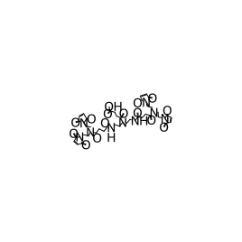 O=C(O)CCC(=O)N(CCNC(=O)CCC(=O)N(CCN1C(=O)C=CC1=O)CCN1C(=O)C=CC1=O)CCNC(=O)CCC(=O)N(CCN1C(=O)C=CC1=O)CCN1C(=O)C=CC1=O